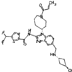 C=CC(=O)N1CCC[C@@H](n2c(NC(=O)c3ccc(C(F)F)s3)nc3cc(CN[C@H]4C[C@H](O)C4)ccc32)CC1